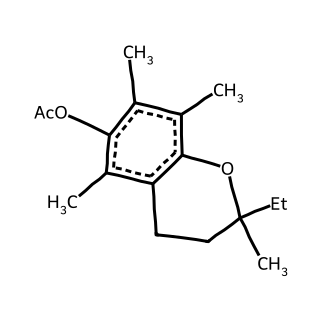 [CH2]CC1(C)CCc2c(C)c(OC(C)=O)c(C)c(C)c2O1